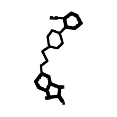 COc1ccccc1N1CCN(CCCc2ccc3[nH]c(=S)[nH]c3c2)CC1